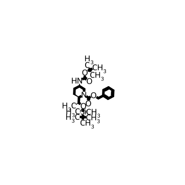 C[C@@H](O[Si](C)(C)C(C)(C)C)[C@H]1CC[C@H](NC(=O)OC(C)(C)C)CN1C(=O)OCc1ccccc1